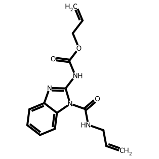 C=CCNC(=O)n1c(NC(=O)OCC=C)nc2ccccc21